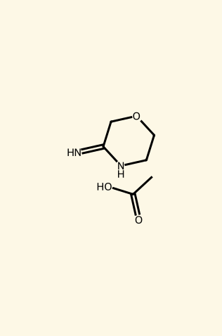 CC(=O)O.N=C1COCCN1